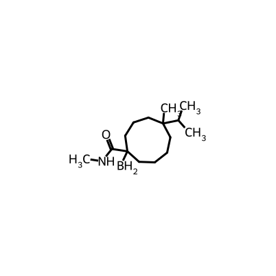 BC1(C(=O)NC)CCCCC(C)(C(C)C)CCC1